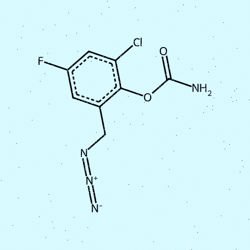 [N-]=[N+]=NCc1cc(F)cc(Cl)c1OC(N)=O